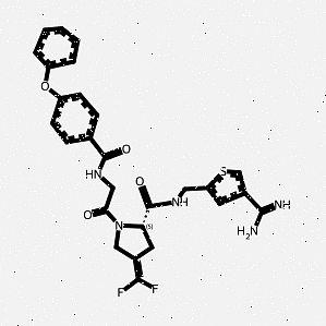 N=C(N)c1csc(CNC(=O)[C@@H]2CC(=C(F)F)CN2C(=O)CNC(=O)c2ccc(Oc3ccccc3)cc2)c1